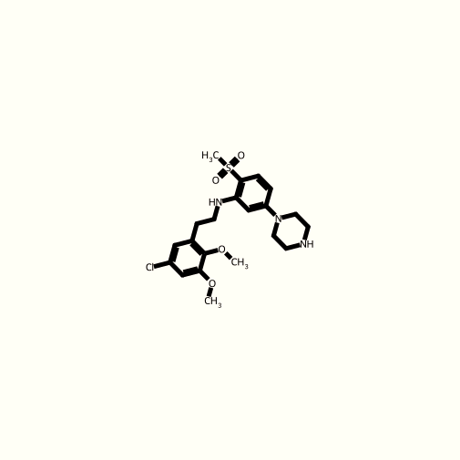 COc1cc(Cl)cc(CCNc2cc(N3CCNCC3)ccc2S(C)(=O)=O)c1OC